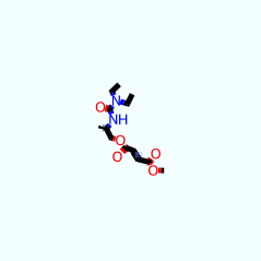 CCN(CC)C(=O)N[C@H](C)COC(=O)/C=C/C(=O)OC